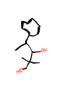 CC(c1ccccc1)C(O)C(C)(C)CO